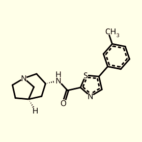 Cc1cccc(-c2cnc(C(=O)N[C@@H]3C[C@H]4CCN(C4)C3)s2)c1